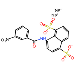 O=C(Nc1ccc(S(=O)(=O)[O-])c2cccc(S(=O)(=O)[O-])c12)c1cccc([N+](=O)[O-])c1.[Na+].[Na+]